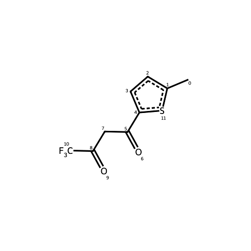 Cc1ccc(C(=O)CC(=O)C(F)(F)F)s1